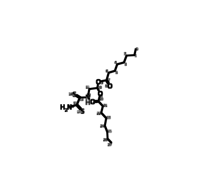 CCCCCCCC(=O)OC(CNC(=S)C(N)=S)OC(=O)CCCCCCC